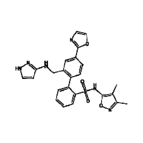 Cc1noc(NS(=O)(=O)c2ccccc2-c2ccc(-c3ncco3)cc2CNc2cc[nH]n2)c1C